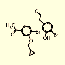 CC(=O)c1ccc(Br)c(OCC2CC2)c1.O=CCc1ccc(Br)c(O)c1